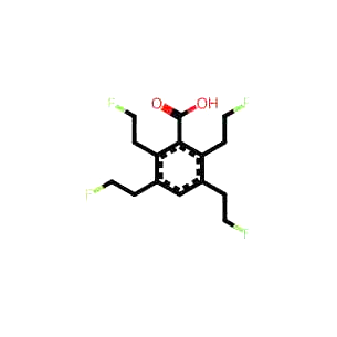 O=C(O)c1c(CCF)c(CCF)cc(CCF)c1CCF